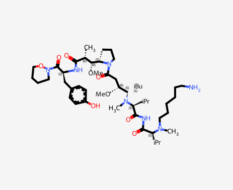 CC[C@H](C)[C@@H]([C@@H](CC(=O)N1CCC[C@H]1[C@H](OC)[C@@H](C)C(=O)N[C@@H](Cc1ccc(O)cc1)C(=O)N1CCCCO1)OC)N(C)[C@H](C(=O)NC(=O)[C@H](C(C)C)N(C)CCCCCCN)C(C)C